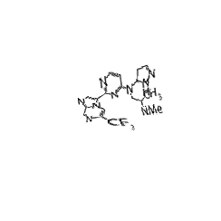 CNC(C)CN(c1ccnc(-c2cnc3cnc(C(F)(F)F)cn23)n1)C1CC=NN1